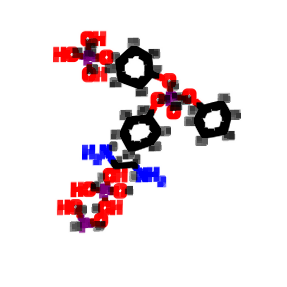 NCCN.O=P(O)(O)O.O=P(O)(O)O.O=P(Oc1ccccc1)(Oc1ccccc1)Oc1ccccc1.O=PO